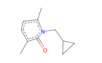 Cc1ccc(C)n(CC2CC2)c1=O